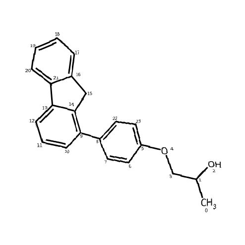 CC(O)COc1ccc(-c2cccc3c2Cc2ccccc2-3)cc1